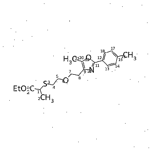 CCOC(=O)C(C)SCCOCCc1nc(-c2ccc(C)cc2)oc1C